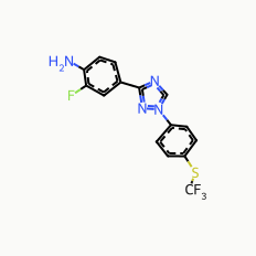 Nc1ccc(-c2ncn(-c3ccc(SC(F)(F)F)cc3)n2)cc1F